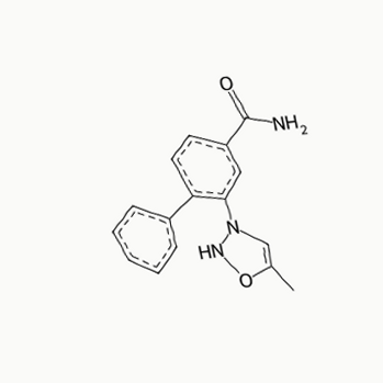 CC1=CN(c2cc(C(N)=O)ccc2-c2ccccc2)NO1